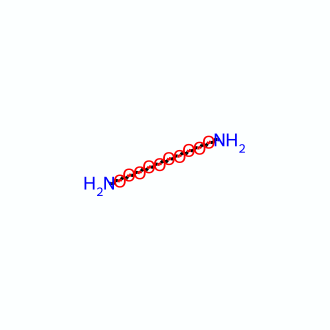 NCCOCCOCCOCCOCCOCCOCCOCCOCCOCCOCCN